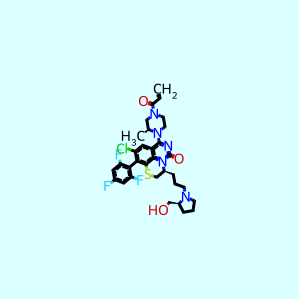 C=CC(=O)N1CCN(c2nc(=O)n3c4c(c(-c5c(F)cc(F)cc5F)c(Cl)cc24)SC[C@@H]3CCCN2CCC[C@H]2CO)[C@@H](C)C1